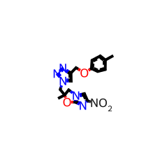 Cc1ccc(OCc2cn(CC3(C)Cn4cc([N+](=O)[O-])nc4O3)nn2)cc1